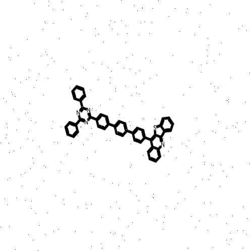 c1ccc(-c2nc(-c3ccccc3)nc(-c3ccc(-c4ccc(-c5ccc(-c6c7ccccc7nc7c6sc6ccccc67)cc5)cc4)cc3)n2)cc1